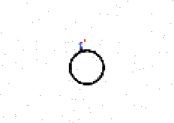 [O]N=C1CCCCCCCCCCCCCCC1